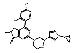 CN1Cc2c(cc(N3CCO[C@H](c4cnn(C5CC5)c4)C3)nc2-c2ccc(Cl)cc2F)C1=O